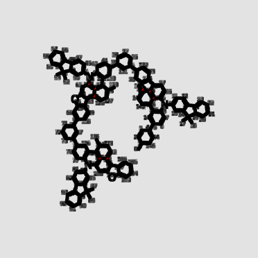 Cc1ccc(-c2ccc(N(c3ccc4c(c3)C(C)(C)c3ccccc3-4)c3ccc4c(c3)oc3cc(-c5cccc(-c6ccc(N(c7ccc8c(c7)C(C)(C)c7ccccc7-8)c7ccc8c(c7)oc7cc(-c9cccc(-c%10ccc(N(c%11ccc%12c(c%11)C(C)(C)c%11ccccc%11-%12)c%11ccc%12c(c%11)oc%11ccccc%11%12)c(-c%11ccccc%11C)c%10)c9)ccc78)c(-c7c(C)cccc7C)c6)c5)ccc34)c(-c3ccc(C)cc3)c2)cc1